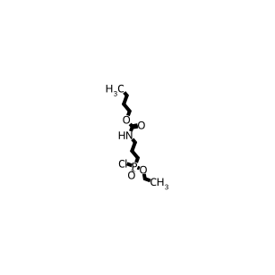 CCCCOC(=O)NCCCP(=O)(Cl)OCC